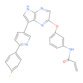 C=CC(=O)Nc1cccc(Oc2cnc3[nH]cc(-c4ccc(-c5ccc(F)cc5)nc4)c3n2)c1